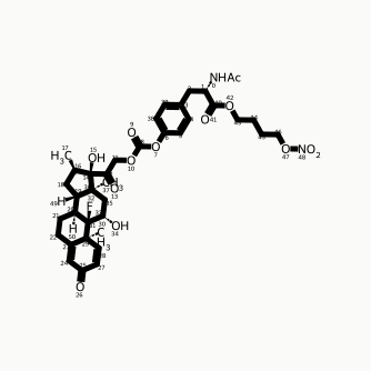 CC(=O)N[C@@H](Cc1ccc(OC(=O)OCC(=O)[C@@]2(O)[C@H](C)C[C@H]3[C@@H]4CCC5=CC(=O)C=C[C@]5(C)[C@@]4(F)[C@@H](O)C[C@@]32C)cc1)C(=O)OCCCCO[N+](=O)[O-]